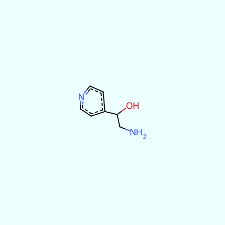 NCC(O)c1ccncc1